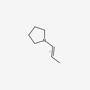 [CH2]/C=C/N1CCCC1